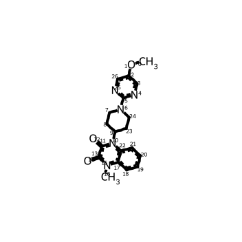 COc1cnc(N2CCC(n3c(=O)c(=O)n(C)c4ccccc43)CC2)nc1